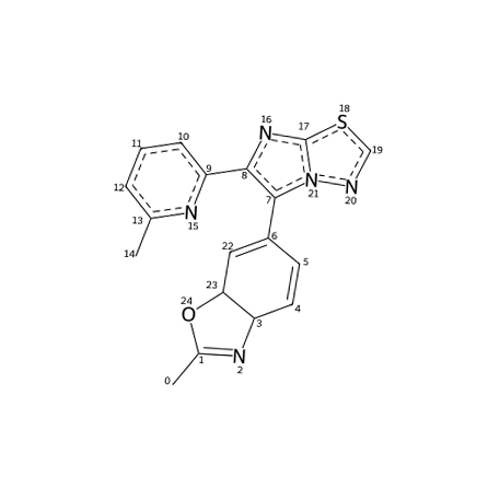 CC1=NC2C=CC(c3c(-c4cccc(C)n4)nc4scnn34)=CC2O1